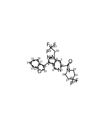 O=C(c1cc2c(cn1)c(-c1coc3ccccc13)nn2CC(F)(F)F)N1CCC(F)(F)CC1